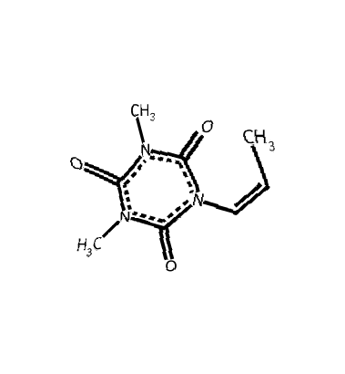 C/C=C\n1c(=O)n(C)c(=O)n(C)c1=O